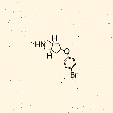 Brc1ccc(O[C@H]2C[C@H]3CNC[C@H]3C2)cc1